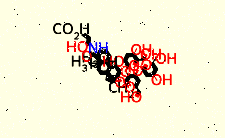 C=C1C[C@@]23CC[C@H]4[C@@](C)(CCC[C@@]4(C)C(=O)NC(O)CCC(=O)O)[C@@H]2CCC1(OC1O[C@H](CO)C[C@H](O[C@H]2C[C@@H](O)C[C@@H](CO)O2)[C@H]1O[C@@H]1O[C@H](CO)[C@@H](O)C[C@H]1O)C3